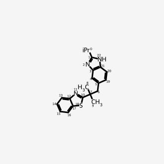 CC(C)c1nc2cc(CC(C)(C)c3nc4ccccc4s3)ccc2[nH]1